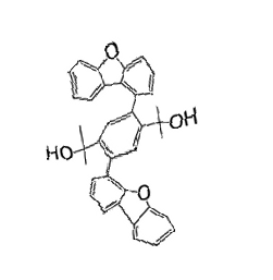 CC(C)(O)c1cc(-c2cccc3oc4ccccc4c23)c(C(C)(C)O)cc1-c1cccc2c1oc1ccccc12